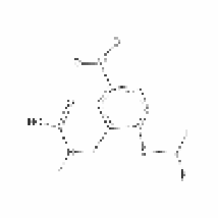 CN(Cc1cc([N+](=O)[O-])ccc1SC(F)F)C(=O)O